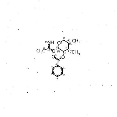 C[C@@H]1C(OC(=O)c2ccccc2)[C@H](OC(=N)C(Cl)(Cl)Cl)OC[C@@H]1C